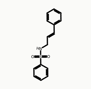 O=S(=O)(NC/C=C/c1ccccc1)c1ccccc1